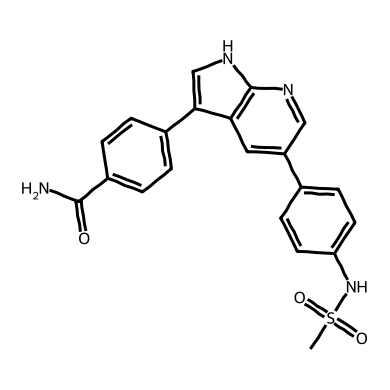 CS(=O)(=O)Nc1ccc(-c2cnc3[nH]cc(-c4ccc(C(N)=O)cc4)c3c2)cc1